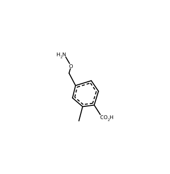 Cc1cc(CON)ccc1C(=O)O